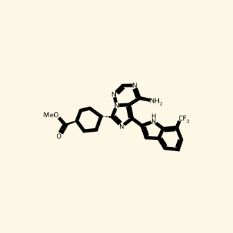 COC(=O)[C@H]1CC[C@H](c2nc(-c3cc4cccc(C(F)(F)F)c4[nH]3)c3c(N)ncnn32)CC1